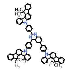 CC1(C)c2ccccc2-c2ccc3c(c21)c1ccccc1n3-c1ccc(-c2ccc3nc(-c4ccc(-n5c6ccccc6c6c7c(ccc65)-c5ccccc5C7(C)C)cc4)nc(-c4ccc(-n5c6ccccc6c6c7c(ccc65)-c5ccccc5C7(C)C)cc4)c3c2)cc1